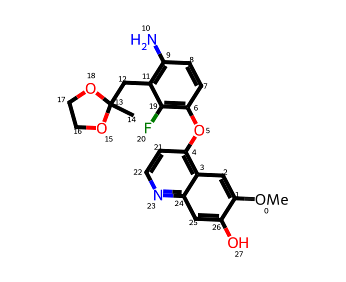 COc1cc2c(Oc3ccc(N)c(CC4(C)OCCO4)c3F)ccnc2cc1O